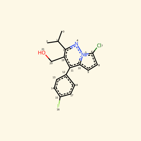 CC(C)c1nn2c(Cl)ccc2c(-c2ccc(F)cc2)c1CO